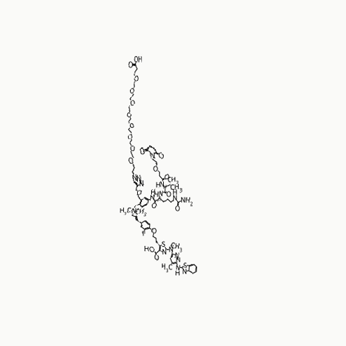 Cc1cc(N(C)c2nc(C(=O)O)c(CCCOc3ccc(C#CC[N+](C)(C)Cc4ccc(NC(=O)[C@H](CCCNC(N)=O)NC(=O)[C@@H](NC(=O)CCOCCN5C(=O)C=CC5=O)C(C)C)cc4COCc4cn(CCOCCOCCOCCOCCOCCOCCOCCOCCC(=O)O)nn4)cc3F)s2)nnc1Nc1nc2ccccc2s1